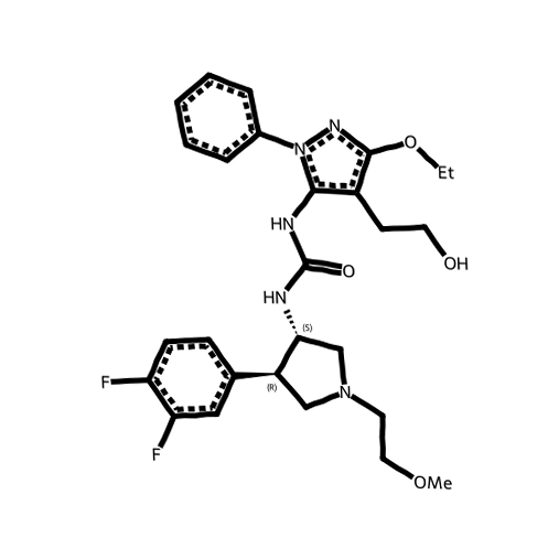 CCOc1nn(-c2ccccc2)c(NC(=O)N[C@@H]2CN(CCOC)C[C@H]2c2ccc(F)c(F)c2)c1CCO